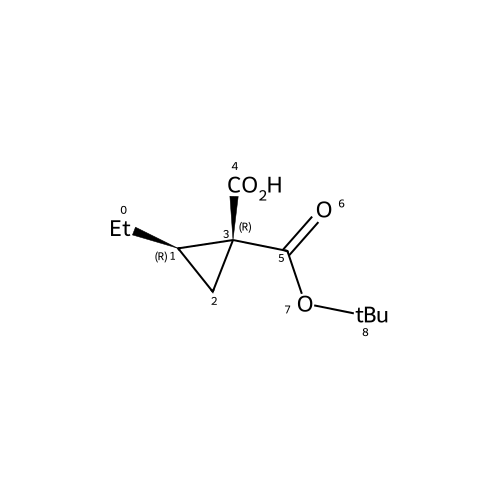 CC[C@@H]1C[C@@]1(C(=O)O)C(=O)OC(C)(C)C